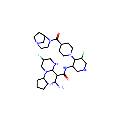 NC(N)C(C(=O)NC1CNCC(Cl)C1N1CCC(C(=O)N2CCN3CCC2C3)CC1)C1NCC(F)CN1C1CCCC1